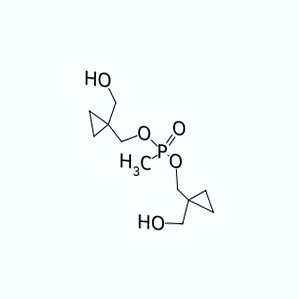 CP(=O)(OCC1(CO)CC1)OCC1(CO)CC1